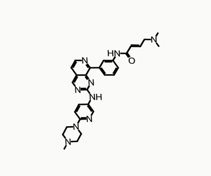 CN(C)C/C=C/C(=O)Nc1cccc(-c2nccc3cnc(Nc4ccc(N5CCN(C)CC5)nc4)nc23)c1